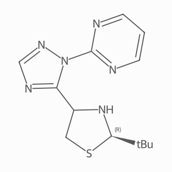 CC(C)(C)[C@@H]1NC(c2ncnn2-c2ncccn2)CS1